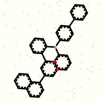 c1ccc(-c2ccc(N(c3ccccc3)c3ccccc3-c3cccc(-c4cccc5ccccc45)c3)cc2)cc1